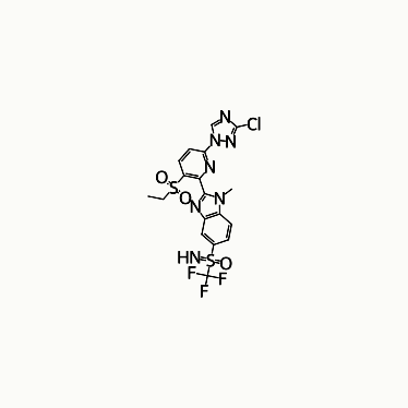 CCS(=O)(=O)c1ccc(-n2cnc(Cl)n2)nc1-c1nc2cc(S(=N)(=O)C(F)(F)F)ccc2n1C